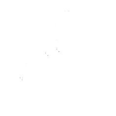 Cc1ccn(NCc2c(-c3ccccc3)noc2C)c(=O)c1CC(=O)O